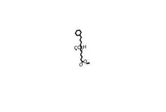 C=COC(=O)CCCCCCCCCCC1CCCCC1.CC(=O)O